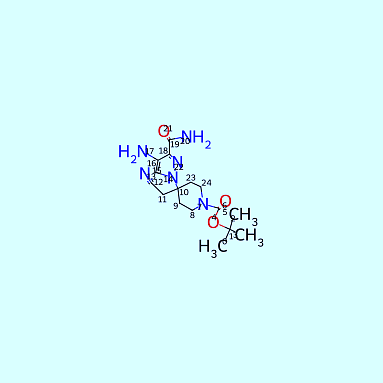 CC(C)(C)OC(=O)N1CCC(CC#N)(n2cc(N)c(C(N)=O)n2)CC1